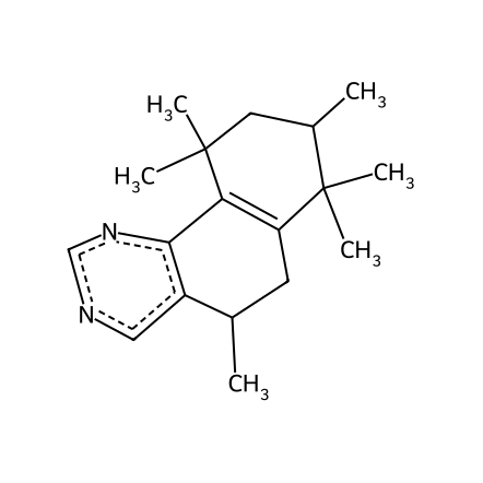 CC1CC2=C(c3ncncc31)C(C)(C)CC(C)C2(C)C